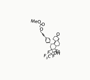 CCC1C2CCC3=CC(=O)CCC3=C2[C@@H](c2ccc(C#CCOCC(=O)OC)cc2)CC1(C)C(O)C(F)(F)C(F)(F)F